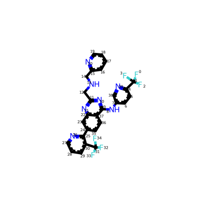 FC(F)(F)c1ccc(Nc2nc(CNCc3ccccn3)nc3cc(-c4ncccc4C(F)(F)F)ccc23)cn1